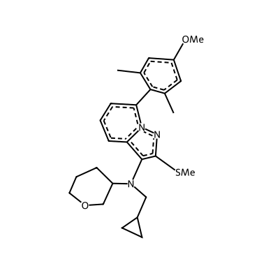 COc1cc(C)c(-c2cccc3c(N(CC4CC4)C4CCCOC4)c(SC)nn23)c(C)c1